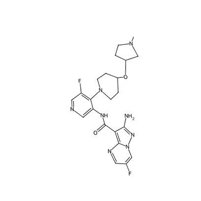 CN1CCC(OC2CCN(c3c(F)cncc3NC(=O)c3c(N)nn4cc(F)cnc34)CC2)C1